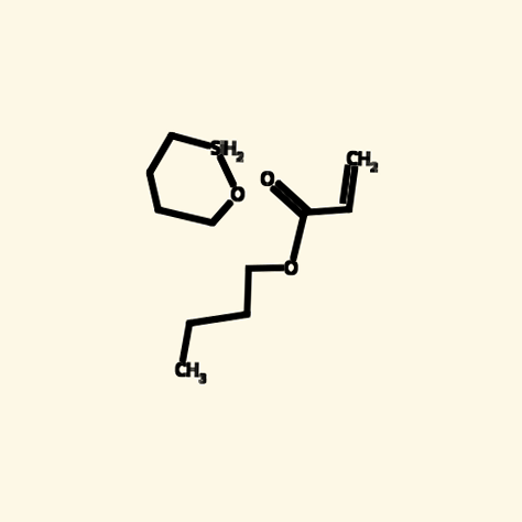 C1CC[SiH2]OC1.C=CC(=O)OCCCC